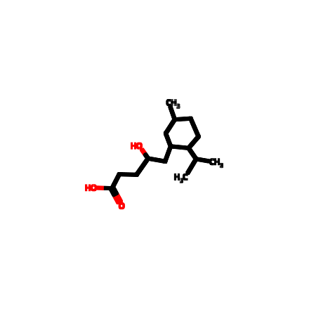 CC1CCC(C(C)C)C(CC(O)CCC(=O)O)C1